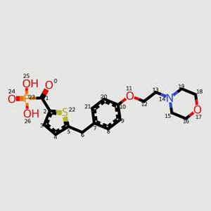 O=C(c1ccc(Cc2ccc(OCCN3CCOCC3)cc2)s1)P(=O)(O)O